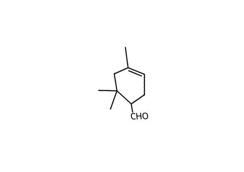 CC1=CCC(C=O)C(C)(C)C1